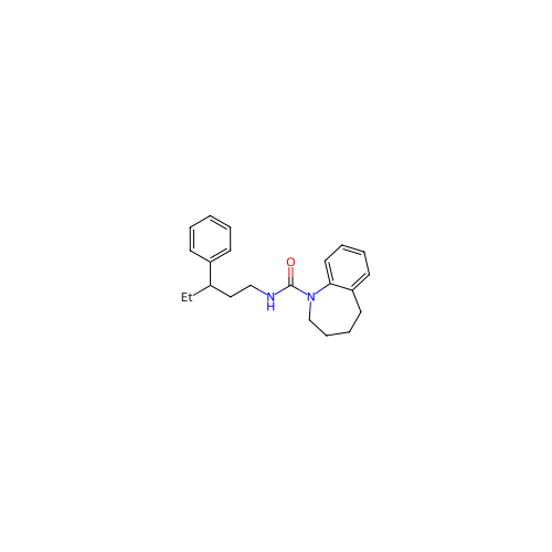 CCC(CCNC(=O)N1CCCCc2ccccc21)c1ccccc1